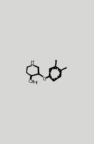 Cc1ccc(OC2CNCCC2O)cc1C